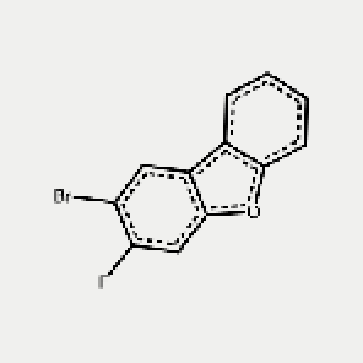 Fc1cc2oc3ccccc3c2cc1Br